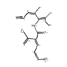 C=C/C=C(/C)C(NC(=O)/C(=C/C=C\N)C(=C)Cl)=C(C)C